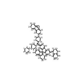 c1ccc(-c2ccc(N(c3ccc(-c4ccc5oc6ccccc6c5c4)cc3)c3ccc4c(c3)C(c3ccccc3)(c3ccccc3)c3ccc(-c5cccc6ccccc56)cc3-4)cc2)cc1